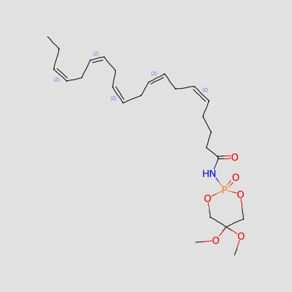 CC/C=C\C/C=C\C/C=C\C/C=C\C/C=C\CCCC(=O)NP1(=O)OCC(OC)(OC)CO1